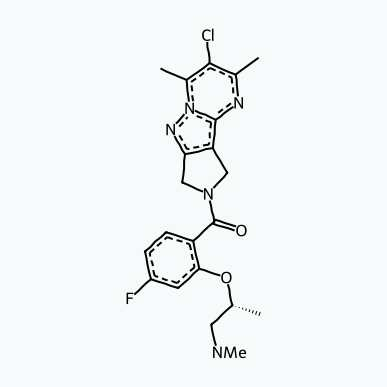 CNC[C@@H](C)Oc1cc(F)ccc1C(=O)N1Cc2nn3c(C)c(Cl)c(C)nc3c2C1